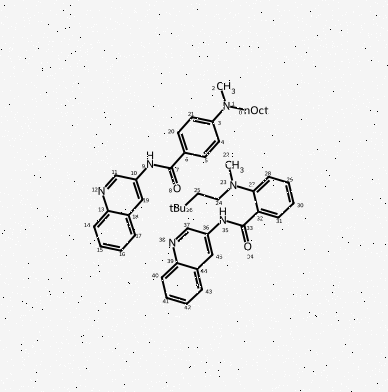 CCCCCCCCN(C)c1ccc(C(=O)Nc2cnc3ccccc3c2)cc1.CN(CCC(C)(C)C)c1ccccc1C(=O)Nc1cnc2ccccc2c1